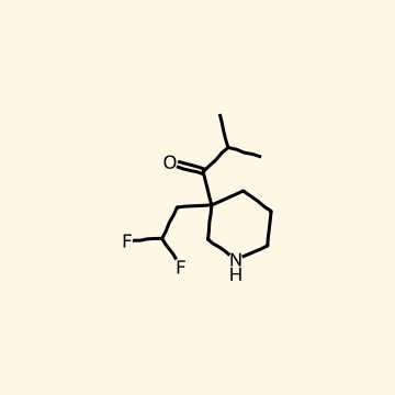 CC(C)C(=O)C1(CC(F)F)CCCNC1